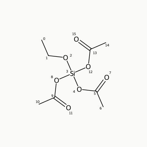 CCO[Si](OC(C)=O)(OC(C)=O)OC(C)=O